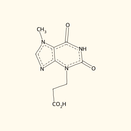 Cn1cnc2c1c(=O)[nH]c(=O)n2CCC(=O)O